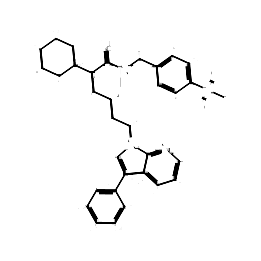 CS(=O)(=O)c1ccc(CNC(=O)C(CCCCn2cc(-c3ccccc3)c3cccnc32)C2CCCCC2)cc1